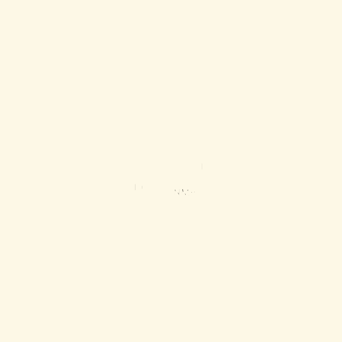 C[N]c1c(C)cccc1C